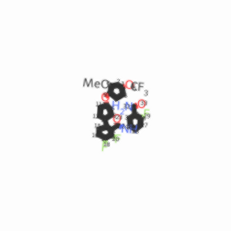 COc1cc(OC(F)(F)F)ccc1Oc1ccc(-c2ccc(F)c(F)c2C(=O)Nc2ccc(F)c(C(N)=O)c2)cc1